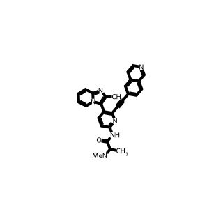 CNC(C)C(=O)Nc1ccc(-c2c(C)nc3ccccn23)c(C#Cc2ccc3cnccc3c2)n1